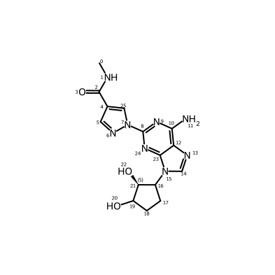 CNC(=O)c1cnn(-c2nc(N)c3ncn(C4CCC(O)[C@H]4O)c3n2)c1